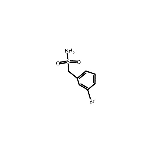 NS(=O)(=O)Cc1cccc(Br)c1